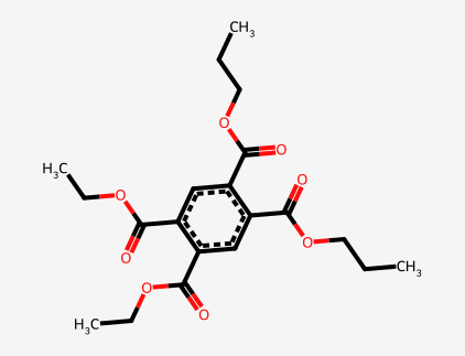 CCCOC(=O)c1cc(C(=O)OCC)c(C(=O)OCC)cc1C(=O)OCCC